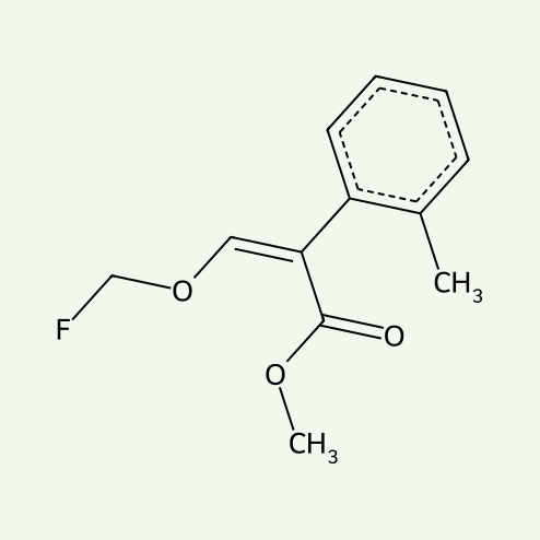 COC(=O)C(=COCF)c1ccccc1C